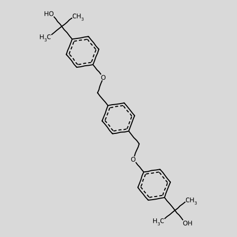 CC(C)(O)c1ccc(OCc2ccc(COc3ccc(C(C)(C)O)cc3)cc2)cc1